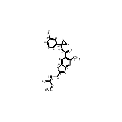 Cc1cc2cc(CNC(=O)OC(C)(C)C)[nH]c2cc1C(=O)NC1(c2cccc(Br)c2)CC1